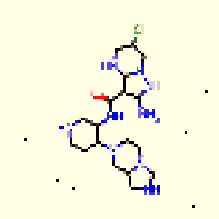 NC1NN2CC(Cl)CNC2C1C(=O)NC1CNCCC1N1CCN2CNCC2C1